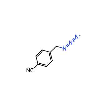 N#Cc1ccc(CN=[N+]=[N-])cc1